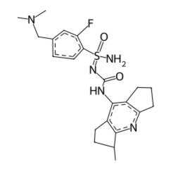 CC1CCc2c1nc1c(c2NC(=O)N=S(N)(=O)c2ccc(CN(C)C)cc2F)CCC1